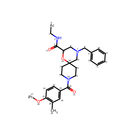 CC(=O)CNC(=O)C1CN(Cc2ccccc2)CC2(CCN(C(=O)c3ccc(OC(C)C)c(C)c3)CC2)O1